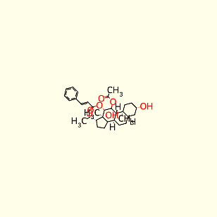 CC(=O)O[C@H]1[C@H]2[C@@H](CC[C@H]3C[C@@H](O)CC[C@@]32C)[C@@]2(O)CC[C@H](C(C)=O)[C@@]2(C)[C@@H]1OC(=O)/C=C/c1ccccc1